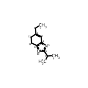 CCC1=Cc2nc(C(C)C)oc2CC1